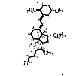 C=C1CC[C@H](O)C/C1=C\C=C1/CCC[C@]2(C)[C@@H](C(C)CCCC(C)C)CC[C@@H]12.[CaH2].[Cu]